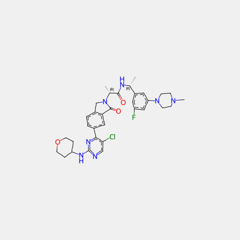 C[C@H](C(=O)N[C@H](C)c1cc(F)cc(N2CCN(C)CC2)c1)N1Cc2ccc(-c3nc(NC4CCOCC4)ncc3Cl)cc2C1=O